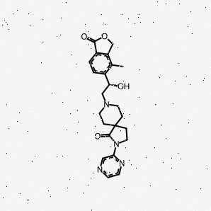 Cc1c([C@@H](O)CN2CCC3(CC2)CCN(c2cnccn2)C3=O)ccc2c1COC2=O